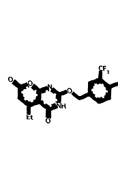 CCc1cc(=O)oc2nc(OCc3ccc(C)c(C(F)(F)F)c3)[nH]c(=O)c12